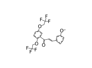 COc1cccc(C=CC(=O)c2cc(OCC(F)(F)F)ccc2OCC(F)(F)F)c1